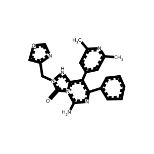 Cc1cc(-c2c(-c3ccccc3)nc(N)[n+]3c(=O)n(Cc4cocn4)[nH]c23)cc(C)n1